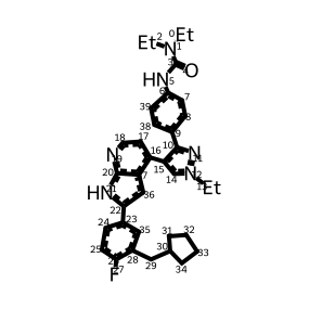 CCN(CC)C(=O)Nc1ccc(-c2nn(CC)cc2-c2ccnc3[nH]c(-c4ccc(F)c(CC5CCCC5)c4)cc23)cc1